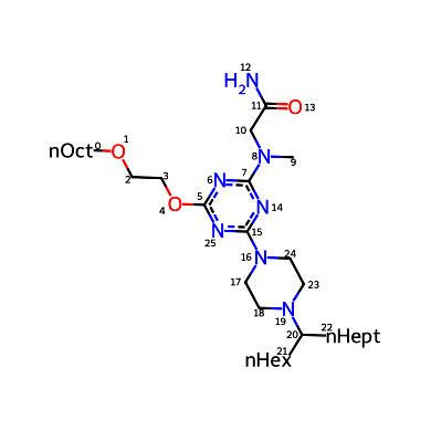 CCCCCCCCOCCOc1nc(N(C)CC(N)=O)nc(N2CCN(C(CCCCCC)CCCCCCC)CC2)n1